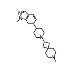 CN1CCC2(CC1)CC(N1CCC(c3ccc4cnn(C)c4c3)CC1)C2